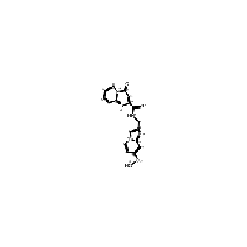 O=C(NCc1cn2ccc(OO)cc2n1)c1cc(=O)n2ccccc2n1